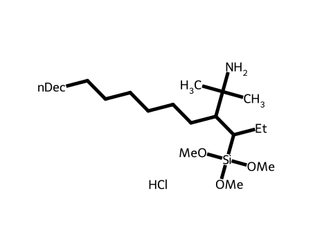 CCCCCCCCCCCCCCCCC(C(CC)[Si](OC)(OC)OC)C(C)(C)N.Cl